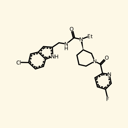 CCN(C(=O)NCc1cc2cc(Cl)ccc2[nH]1)[C@@H]1CCCN(C(=O)c2ccc(F)cn2)C1